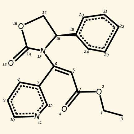 CCOC(=O)[C]=C(c1cccnc1)N1C(=O)OC[C@H]1c1ccccc1